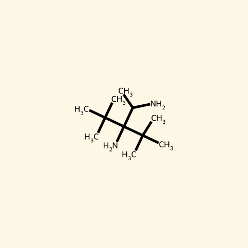 CC(N)C(N)(C(C)(C)C)C(C)(C)C